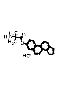 CC(C)(N)C(=O)Oc1ccc2c(ccc3c4c(ccc32)C=CC4)c1.Cl